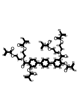 C=C(C)C(=O)OCCN(CCOC(=O)C(=C)C)C(=O)c1ccc(-c2ccc(-c3ccc(OC(=O)C(=C)C)c(C(=O)N(CCOC(=O)C(=C)C)CCOC(=O)C(=C)C)c3)cc2)cc1OC(=O)C(=C)C